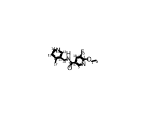 CCOc1ncc(C(=O)NCc2cnccc2C)cc1F